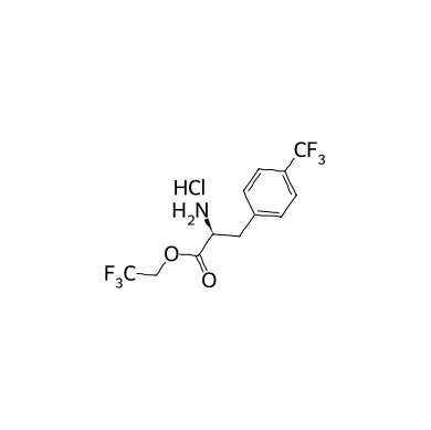 Cl.N[C@@H](Cc1ccc(C(F)(F)F)cc1)C(=O)OCC(F)(F)F